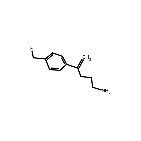 C=C(CCCN)c1ccc(CF)cc1